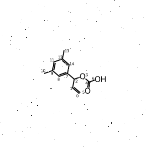 C=CC(OC(=O)O)c1cc(C)cc(C)c1